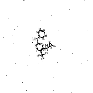 FC(F)(F)c1cnc(Nc2cnccn2)nc1NC1CC1